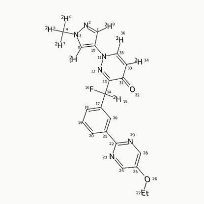 [2H]c1nn(C([2H])([2H])[2H])c([2H])c1-n1nc(C([2H])(F)c2cccc(-c3ncc(OCC)cn3)c2)c(=O)c([2H])c1[2H]